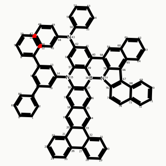 c1ccc(-c2cc(-c3ccccc3)cc(N3c4cc5cc6c7ccccc7c7ccccc7c6cc5cc4B4c5c(cc(N(c6ccccc6)c6ccccc6)cc53)-c3cc5ccccc5c5c6c7ccccc7ccc6n4c35)c2)cc1